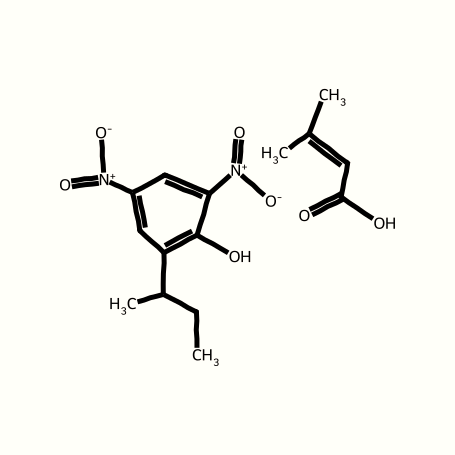 CC(C)=CC(=O)O.CCC(C)c1cc([N+](=O)[O-])cc([N+](=O)[O-])c1O